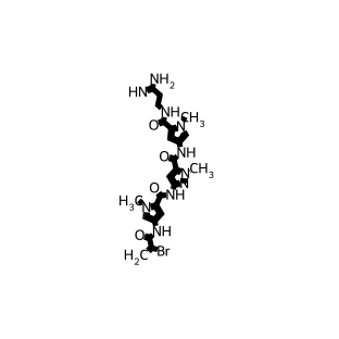 C=C(Br)C(=O)Nc1cc(C(=O)Nc2cc(C(=O)Nc3cc(C(=O)NCCC(=N)N)n(C)c3)n(C)n2)n(C)c1